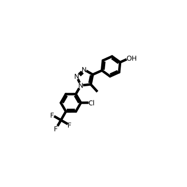 Cc1c(-c2ccc(O)cc2)nnn1-c1ccc(C(F)(F)F)cc1Cl